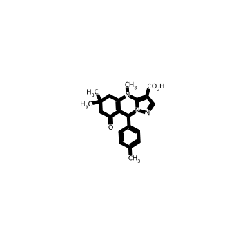 Cc1ccc(C2C3=C(CC(C)(C)CC3=O)N(C)c3c(C(=O)O)cnn32)cc1